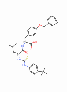 CC(C)C[C@H](NC(=S)Nc1ccc(C(C)(C)C)cc1)C(=O)N[C@@H](Cc1ccc(OCc2ccccc2)cc1)C(=O)O